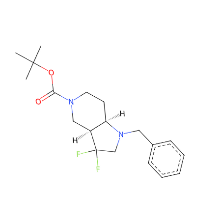 CC(C)(C)OC(=O)N1CC[C@@H]2[C@H](C1)C(F)(F)CN2Cc1ccccc1